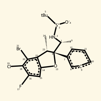 C[C@@H](N[S+]([O-])C(C)(C)C)[C@]1(c2ccccc2)Oc2cc(F)c(Cl)c(Br)c2[C@@H]1C